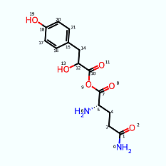 NC(=O)CC[C@H](N)C(=O)OC(=O)C(O)Cc1ccc(O)cc1